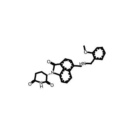 COc1ccccc1CNCc1ccc2c3c(cccc13)N([C@H]1CCC(=O)NC1=O)C2=O